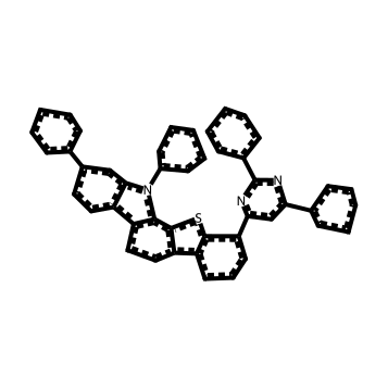 c1ccc(-c2ccc3c4ccc5c6cccc(-c7cc(-c8ccccc8)nc(-c8ccccc8)n7)c6sc5c4n(-c4ccccc4)c3c2)cc1